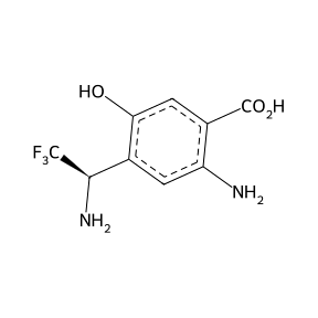 Nc1cc([C@@H](N)C(F)(F)F)c(O)cc1C(=O)O